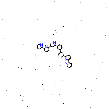 C=C(C/C(=C\C)c1cccc(/C(CC(=C)c2cccc(-c3ccccn3)n2)=N/C)c1)c1cccc(-c2ccccn2)n1